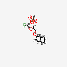 CS(=O)(=O)OCC(COc1ccc2ccccc2c1)OCF